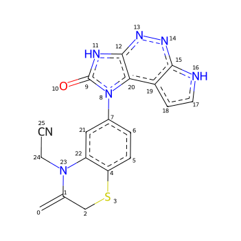 C=C1CSc2ccc(-n3c(=O)[nH]c4nnc5[nH]ccc5c43)cc2N1CC#N